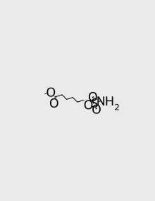 COC(=O)CCCCCOS(N)(=O)=O